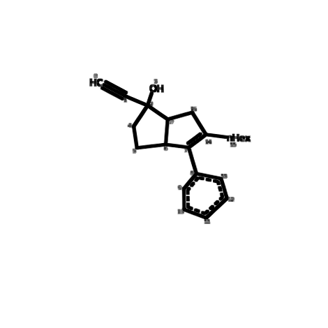 C#CC1(O)CCC2C(c3ccccc3)=C(CCCCCC)CC21